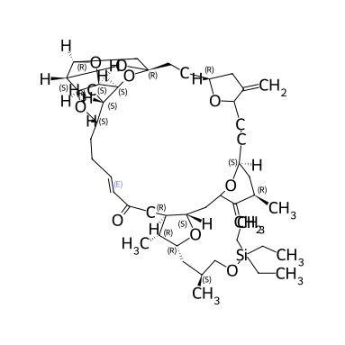 C=C1C[C@H]2CC[C@@]34C[C@H]5O[C@@H]6[C@@H](O[C@@H](CC/C=C/C(=O)C[C@@H]7[C@@H](C)[C@@H](C[C@H](C)CO[Si](CC)(CC)CC)O[C@H]7CC7O[C@@H](CCC1O2)C[C@@H](C)C7=C)[C@H](C)[C@@H]6O3)[C@H]5O4